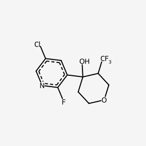 OC1(c2cc(Cl)cnc2F)CCOCC1C(F)(F)F